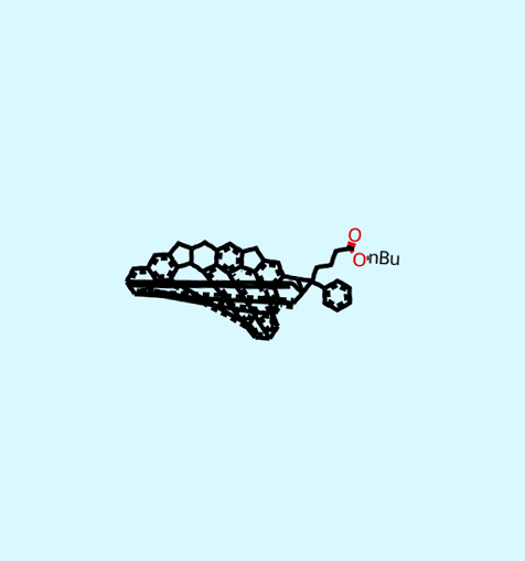 CCCCOC(=O)CCCC1(c2ccccc2)C2c3cc4c5c6c(cc7c8c9c%10c%11c%12c%13c(cc%14cc%15c%16c(c%17c3c5c(c%10c86)c%17c%11c%16c%14%12)C21C=%15)CC(C7)C%139)C4